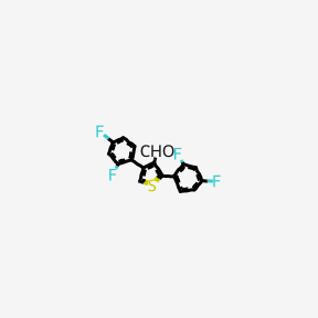 O=Cc1c(-c2ccc(F)cc2F)csc1-c1ccc(F)cc1F